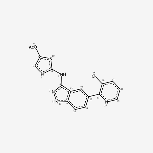 CC(=O)Oc1cnc(Nc2n[nH]c3ccc(-c4ncccc4Cl)cc23)s1